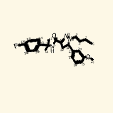 CCCCN1N=C(C(=O)NC(C)(C)c2ccc(F)cc2)CC1c1cccc(OC)c1